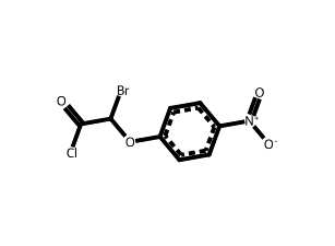 O=C(Cl)C(Br)Oc1ccc([N+](=O)[O-])cc1